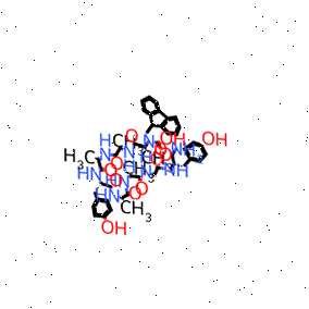 C[C@H](NC(=O)[C@H](C)NC(=O)[C@H](Cc1ccc(O)cc1)NC(=O)[C@H](C)NC(=O)[C@H](C)NC(=O)[C@H](C)N(CC1c2ccccc2-c2ccccc21)C(=O)O)C(=O)NCC(=O)N[C@@H](Cc1ccc(O)cc1)C(N)=O